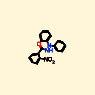 O=C(NN(c1ccccc1)c1ccccc1)c1ccccc1[N+](=O)[O-]